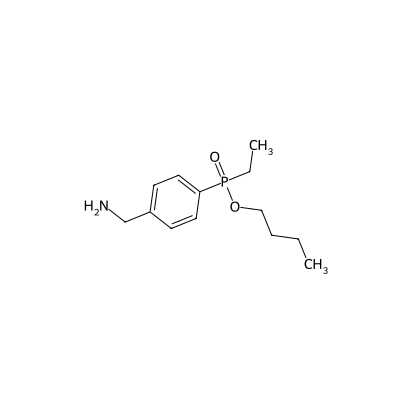 CCCCOP(=O)(CC)c1ccc(CN)cc1